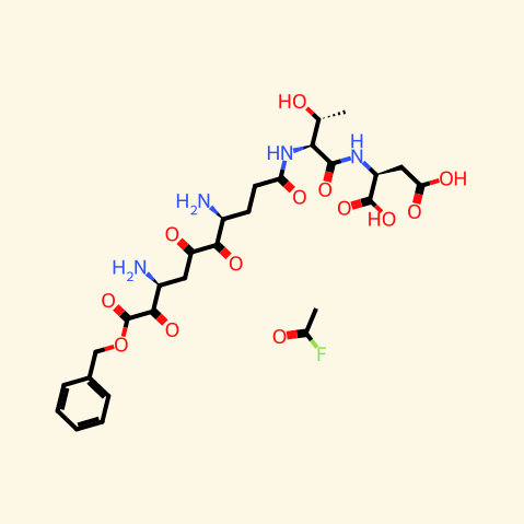 CC(=O)F.C[C@@H](O)[C@H](NC(=O)CC[C@H](N)C(=O)C(=O)C[C@H](N)C(=O)C(=O)OCc1ccccc1)C(=O)N[C@@H](CC(=O)O)C(=O)O